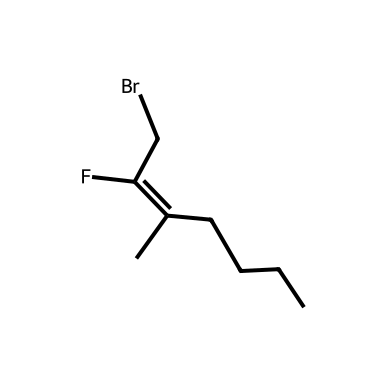 CCCC/C(C)=C(/F)CBr